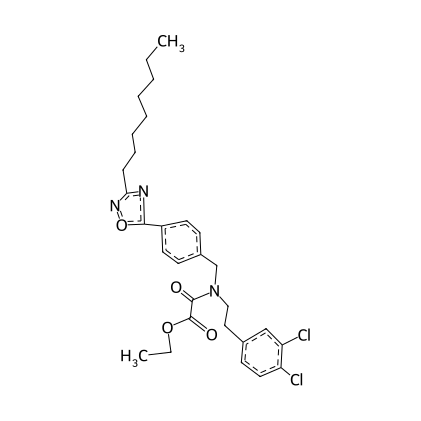 CCCCCCCCc1noc(-c2ccc(CN(CCc3ccc(Cl)c(Cl)c3)C(=O)C(=O)OCC)cc2)n1